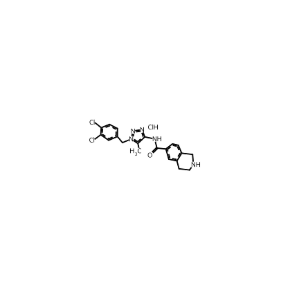 Cc1c(NC(=O)c2ccc3c(c2)CCNC3)nnn1Cc1ccc(Cl)c(Cl)c1.Cl